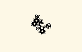 O=CNCc1ccccc1C(=O)CCC1(c2cc(Br)cc3ccccc23)CC1